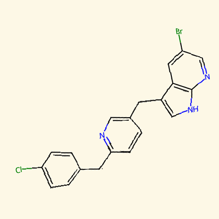 Clc1ccc([CH]c2ccc(Cc3c[nH]c4ncc(Br)cc34)cn2)cc1